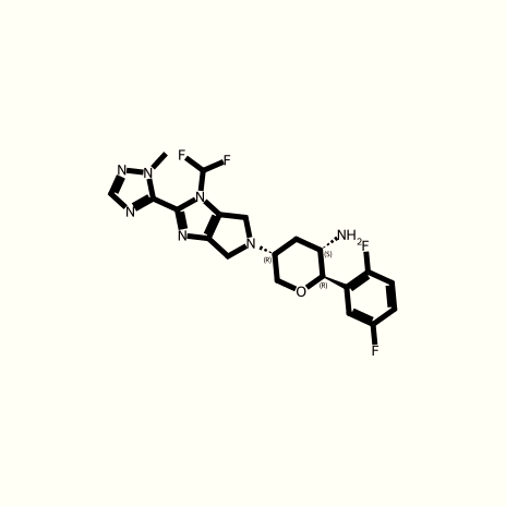 Cn1ncnc1-c1nc2c(n1C(F)F)CN([C@H]1CO[C@H](c3cc(F)ccc3F)[C@@H](N)C1)C2